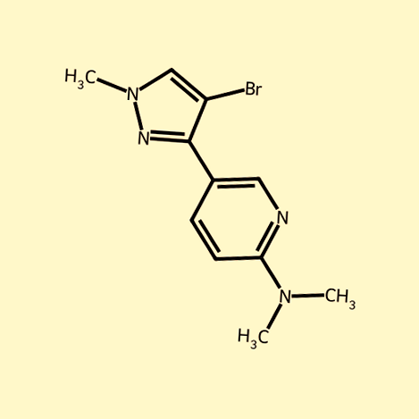 CN(C)c1ccc(-c2nn(C)cc2Br)cn1